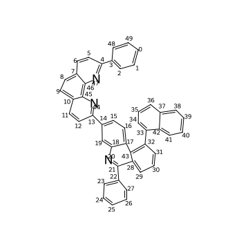 c1ccc(-c2ccc3ccc4ccc(-c5ccc6c(c5)nc(-c5ccccc5)c5cccc(-c7cccc8ccccc78)c56)nc4c3n2)cc1